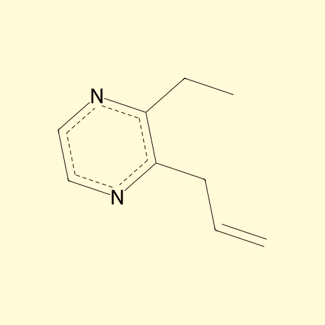 C=CCc1nccnc1CC